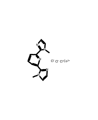 Cn1ccnc1-c1cccc(-c2nccn2C)n1.[Cl-].[Cl-].[Cl-].[Co+3]